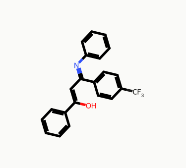 O/C(=C\C(=N\c1ccccc1)c1ccc(C(F)(F)F)cc1)c1ccccc1